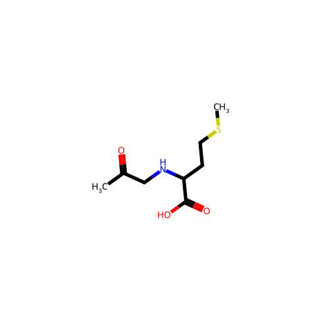 CSCCC(NCC(C)=O)C(=O)O